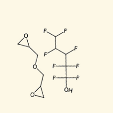 C(OCC1CO1)C1CO1.OC(F)(F)C(F)(F)C(F)C(F)C(F)F